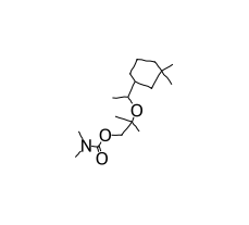 CC(OC(C)(C)COC(=O)N(C)C)C1CCCC(C)(C)C1